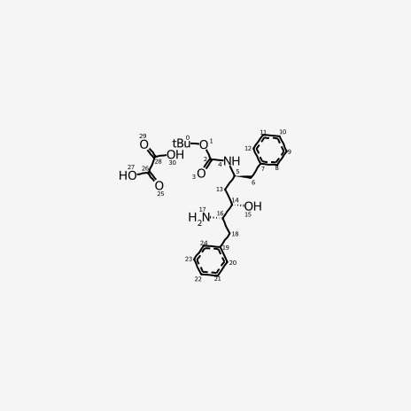 CC(C)(C)OC(=O)N[C@@H](Cc1ccccc1)C[C@H](O)[C@@H](N)Cc1ccccc1.O=C(O)C(=O)O